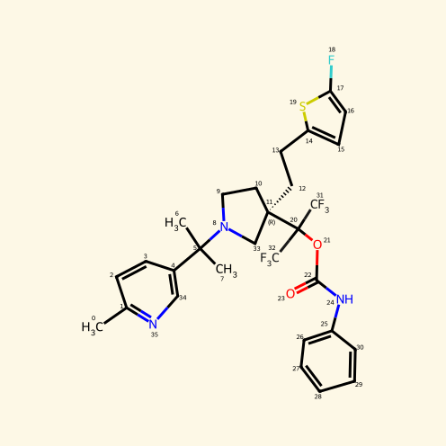 Cc1ccc(C(C)(C)N2CC[C@@](CCc3ccc(F)s3)(C(OC(=O)Nc3ccccc3)(C(F)(F)F)C(F)(F)F)C2)cn1